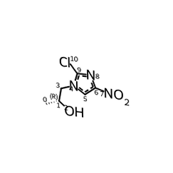 C[C@@H](O)Cn1cc([N+](=O)[O-])nc1Cl